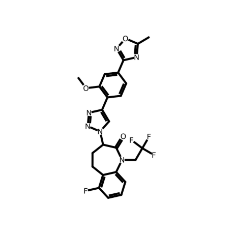 COc1cc(-c2noc(C)n2)ccc1-c1cn(C2CCc3c(F)cccc3N(CC(F)(F)F)C2=O)nn1